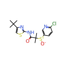 CC(C)(C)c1csc(NC(=O)C(C)(C)[S+]([O-])c2ccc(Cl)nc2)n1